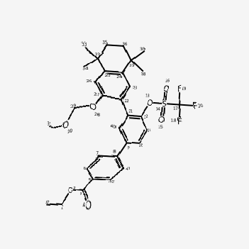 CCOC(=O)c1ccc(-c2ccc(OS(=O)(=O)C(F)(F)F)c(-c3cc4c(cc3OCOC)C(C)(C)CCC4(C)C)c2)cc1